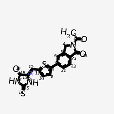 CC(=O)N1Cc2cc(-c3ccc(/C=C4\NC(=S)NC4=O)s3)ccc2C1=O